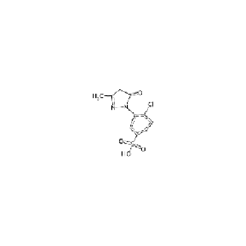 CC1=NN(c2cc(S(=O)(=O)O)ccc2Cl)C(=O)C1